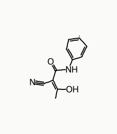 CC(O)=C(C#N)C(=O)Nc1cc[c]cc1